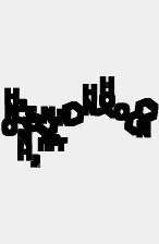 CCCc1cc(N2CCC(NCC(O)COc3ccnc4ccccc34)CC2)nc2sc(C(N)=O)c(N)c12